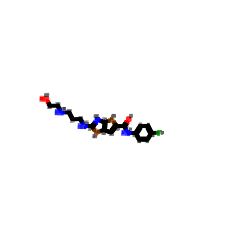 O=C(Nc1ccc(F)cc1)c1cc2sc(NCCCNCCO)nc2s1